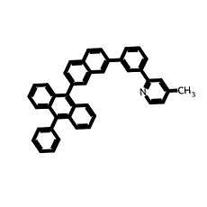 Cc1ccnc(-c2cccc(-c3ccc4ccc(-c5c6ccccc6c(-c6ccccc6)c6ccccc56)cc4c3)c2)c1